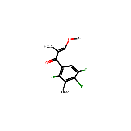 CCOC=C(C(=O)O)C(=O)c1cc(F)c(F)c(OC)c1F